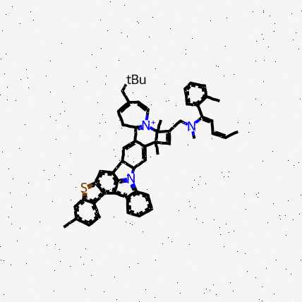 C/C=C\C=C(\c1ccccc1C)N(C)CC1=CC2(C)C3=CC4C(C=C3C3=[N+](C=CC(CC(C)(C)C)=CC3)C12C)c1cc2sc3cc(C)ccc3c2c2c3ccccc3n4c12